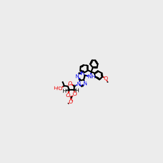 COc1ccc(C(Nc2ncnc3c2ncn3[C@@H]2OC(C(C)O)[C@H]3OC(OC)O[C@H]32)(c2ccccc2)c2ccccc2)cc1